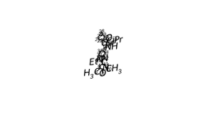 CCn1c(-c2cc(C)c(=O)n(C)c2)nc2cc(CNC(CC(C)C)C(=O)OC3CCC4CC4C3)ccc21